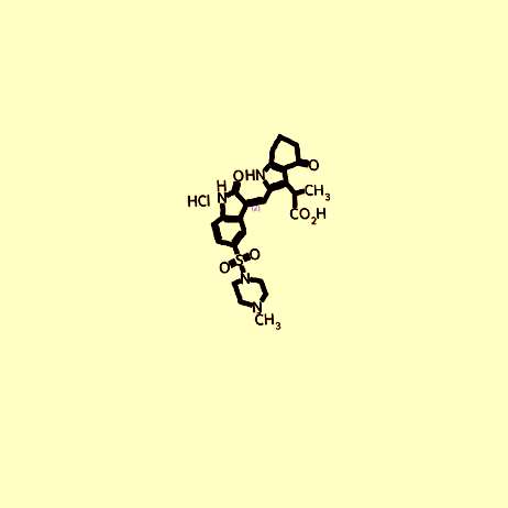 CC(C(=O)O)c1c(/C=C2\C(=O)Nc3ccc(S(=O)(=O)N4CCN(C)CC4)cc32)[nH]c2c1C(=O)CCC2.Cl